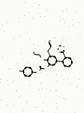 CC=CCc1cc(-c2ccccc2-c2nnn[nH]2)cc(NC(=O)Nc2ccc(C)cc2)c1OCCC